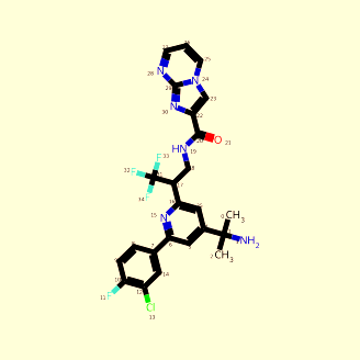 CC(C)(N)c1cc(-c2ccc(F)c(Cl)c2)nc(C(CNC(=O)c2cn3cccnc3n2)C(F)(F)F)c1